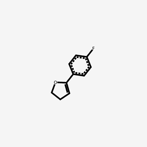 Fc1ccc(C2=CCCO2)cc1